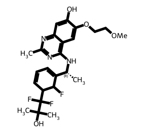 COCCOc1cc2c(N[C@H](C)C3=CC=CC(C(F)(F)C(C)(C)O)C3F)nc(C)nc2cc1O